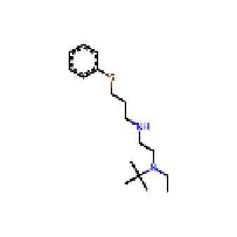 CCN(CCNCCCSc1ccccc1)C(C)(C)C